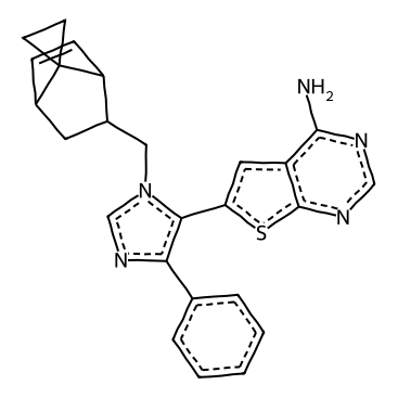 Nc1ncnc2sc(-c3c(-c4ccccc4)ncn3CC3CC4C=CC3C43CC3)cc12